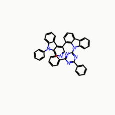 c1ccc(-c2nc(-c3ccccc3)nc(-n3c4ccccc4c4cccc(-c5cncc6c5c5ccccc5n6-c5ccccc5)c43)n2)cc1